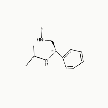 CNC[C@H](NC(C)C)c1ccccc1